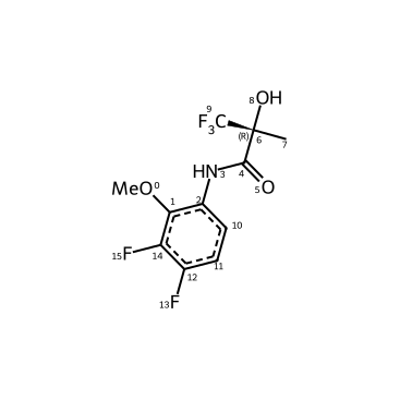 COc1c(NC(=O)[C@@](C)(O)C(F)(F)F)ccc(F)c1F